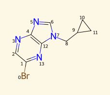 Brc1cnc2ncn(CC3CC3)c2n1